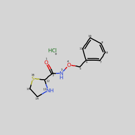 Cl.O=C(NOCc1ccccc1)C1NCCS1